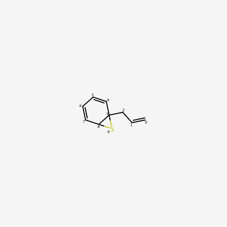 C=CCC12C=CC=CC1S2